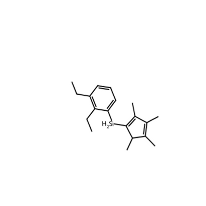 CCc1cccc([SiH2]C2=C(C)C(C)=C(C)C2C)c1CC